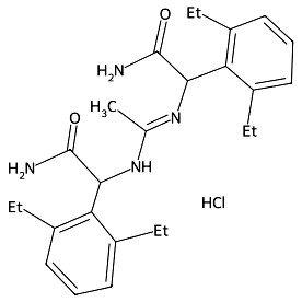 CCc1cccc(CC)c1C(/N=C(\C)NC(C(N)=O)c1c(CC)cccc1CC)C(N)=O.Cl